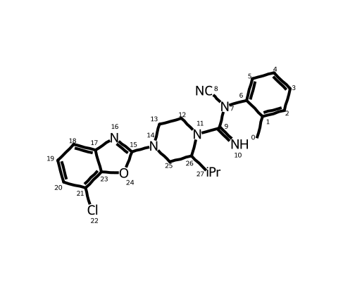 Cc1ccccc1N(C#N)C(=N)N1CCN(c2nc3cccc(Cl)c3o2)CC1C(C)C